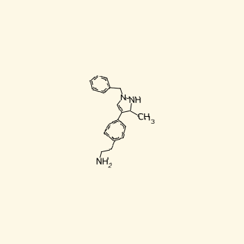 CC1NN(Cc2ccccc2)C=C1c1ccc(CCN)cc1